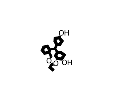 C=CC(=O)OCc1ccccc1C(c1ccc(O)cc1)c1ccc(O)cc1